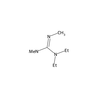 CCN(CC)/C(=N\C)NC